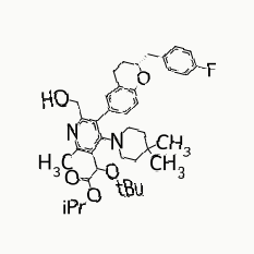 Cc1nc(CO)c(-c2ccc3c(c2)CC[C@H](Cc2ccc(F)cc2)O3)c(N2CCC(C)(C)CC2)c1C(OC(C)(C)C)C(=O)OC(C)C